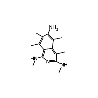 CNc1nc(NC)c2c(C)c(C)c(N)c(C)c2c1C